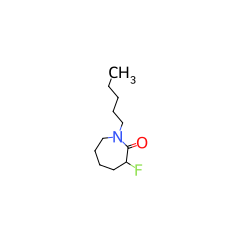 CCCCCN1CCCCC(F)C1=O